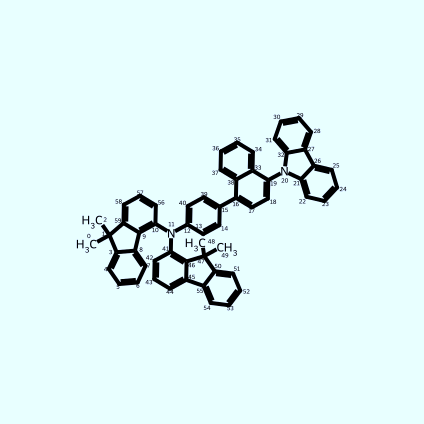 CC1(C)c2ccccc2-c2c(N(c3ccc(-c4ccc(-n5c6ccccc6c6ccccc65)c5ccccc45)cc3)c3cccc4c3C(C)(C)c3ccccc3-4)cccc21